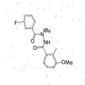 COc1cccc(C(=O)NN(C(=O)c2cccc(F)c2)C(C)(C)C)c1C